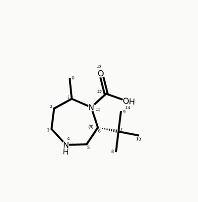 CC1CCNC[C@@H](C(C)(C)C)N1C(=O)O